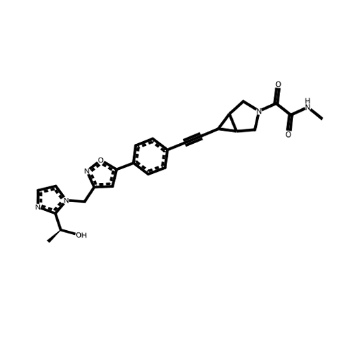 CNC(=O)C(=O)N1CC2C(C#Cc3ccc(-c4cc(Cn5ccnc5[C@H](C)O)no4)cc3)C2C1